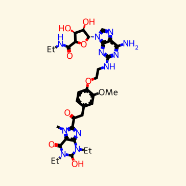 CCNC(=O)C1O[C@@H](n2cnc3c(N)nc(NCCOc4ccc(CC(=O)c5nc6c(n5C)C(=O)N(CC)C(O)N6CC)cc4OC)nc32)[C@H](O)[C@@H]1O